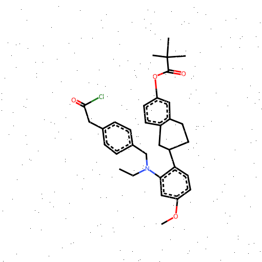 CCN(Cc1ccc(CC(=O)Cl)cc1)c1cc(OC)ccc1C1CCc2cc(OC(=O)C(C)(C)C)ccc2C1